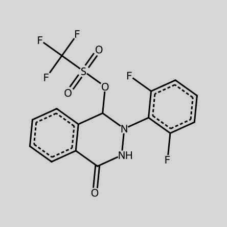 O=C1NN(c2c(F)cccc2F)C(OS(=O)(=O)C(F)(F)F)c2ccccc21